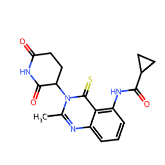 Cc1nc2cccc(NC(=O)C3CC3)c2c(=S)n1C1CCC(=O)NC1=O